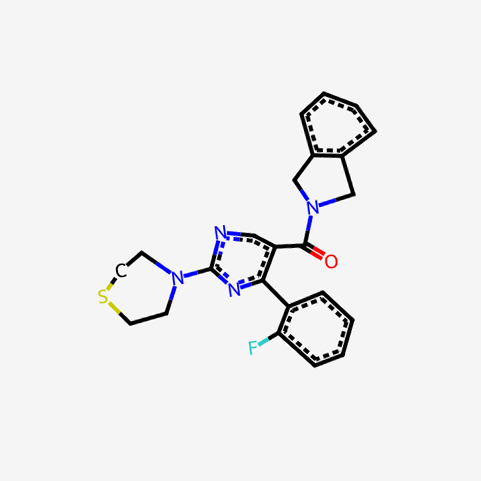 O=C(c1cnc(N2CCSCC2)nc1-c1ccccc1F)N1Cc2ccccc2C1